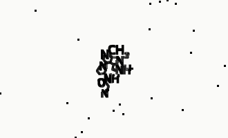 Cc1ncc(N2CCCC(NC(=O)CC#N)C2)c2c1cnc1[nH]ccc12